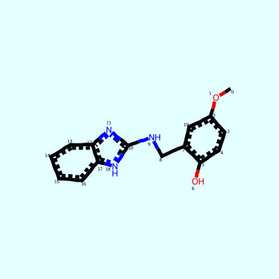 COc1ccc(O)c(CNc2nc3ccccc3[nH]2)c1